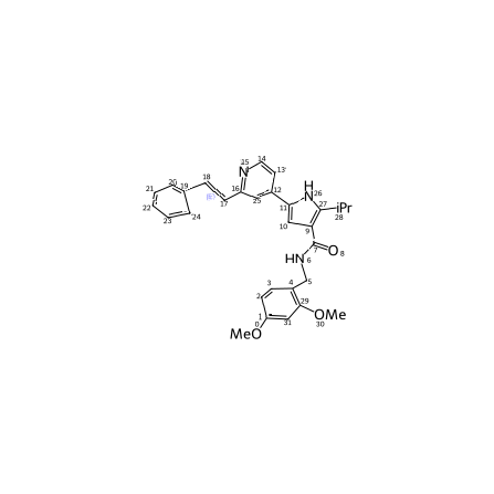 COc1ccc(CNC(=O)c2cc(-c3ccnc(/C=C/c4ccccc4)c3)[nH]c2C(C)C)c(OC)c1